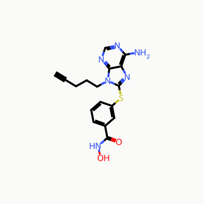 C#CCCCn1c(Sc2cccc(C(=O)NO)c2)nc2c(N)ncnc21